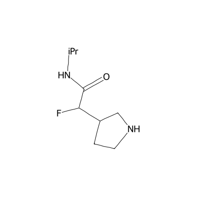 CC(C)NC(=O)C(F)C1CCNC1